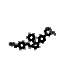 CCN(CC)c1ccc(C2C=CN(C=Cc3ccc(OC)cc3)N2c2ccccc2)cc1